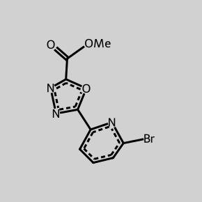 COC(=O)c1nnc(-c2cccc(Br)n2)o1